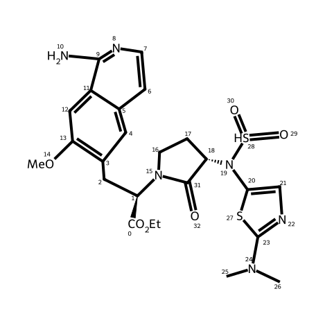 CCOC(=O)[C@@H](Cc1cc2ccnc(N)c2cc1OC)N1CC[C@H](N(c2cnc(N(C)C)s2)[SH](=O)=O)C1=O